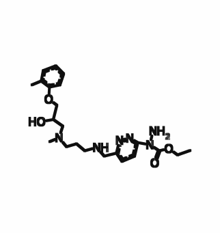 CCOC(=O)N(N)c1ccc(CNCCCN(C)CC(O)COc2ccccc2C)nn1